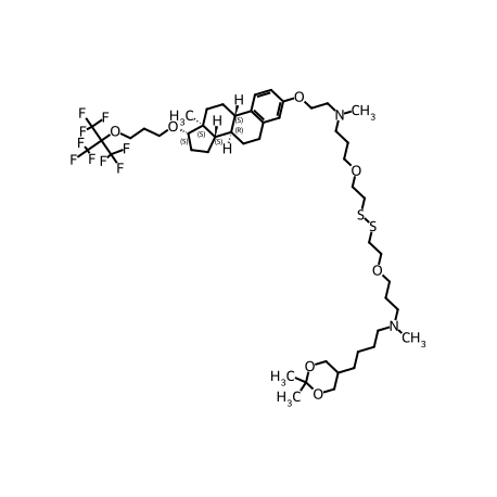 CN(CCCCC1COC(C)(C)OC1)CCCOCCSSCCOCCCN(C)CCOc1ccc2c(c1)CC[C@@H]1[C@@H]2CC[C@]2(C)[C@@H](OCCCOC(C(F)(F)F)(C(F)(F)F)C(F)(F)F)CC[C@@H]12